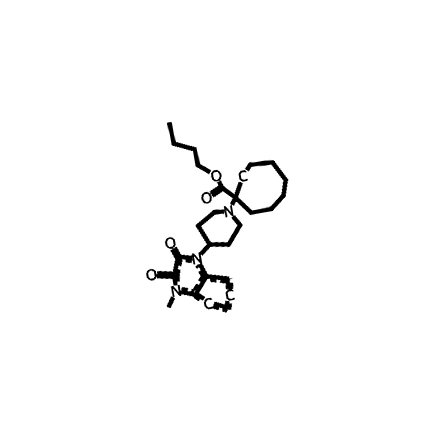 CCCCOC(=O)C1(N2CCC(n3c(=O)c(=O)n(C)c4ccccc43)CC2)CCCCCCC1